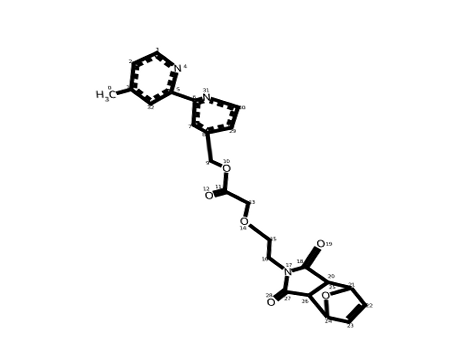 Cc1ccnc(-c2cc(COC(=O)COCCN3C(=O)C4C5C=CC(O5)C4C3=O)ccn2)c1